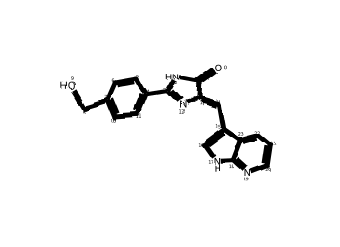 O=C1NC(c2ccc(CO)cc2)=N/C1=C\c1c[nH]c2ncccc12